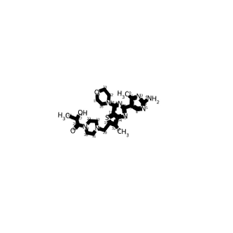 Cc1nc(N)ncc1-c1nc(N2CCOCC2)c2sc(CN3CCN(C(=O)C(C)O)CC3)c(C)c2n1